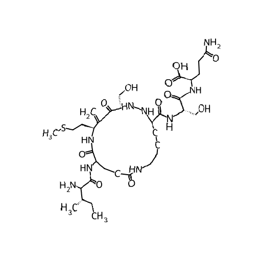 C=C1C(=O)[C@H](CO)NNC(C(=O)N[C@@H](CO)C(=O)NC(CCC(N)=O)C(=O)O)CCCCNC(=O)CCC(NC(=O)C(N)[C@@H](C)CC)C(=O)N[C@H]1CCSC